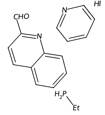 CCP.I.O=Cc1ccc2ccccc2n1.c1ccncc1